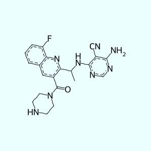 CC(Nc1ncnc(N)c1C#N)c1nc2c(F)cccc2cc1C(=O)N1CCNCC1